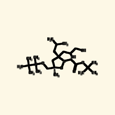 CC(C)C[C@]1(CC(O)CO)C[C@](C)(CO[Si](C)(C)C(C)(C)C)ON1CC(=O)OC(C)(C)C